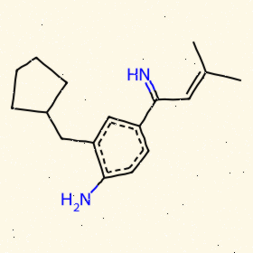 CC(C)=CC(=N)c1ccc(N)c(CC2CCCC2)c1